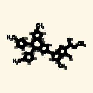 COC(=O)c1sc2c(-c3cc4c(-c5ccc(C)s5)c(-c5ccc(C)s5)c5cc(C)sc5c4s3)sc(C)c2c1F